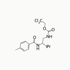 Cc1ccc(C(=O)NC(CNC(=O)OCC(Cl)(Cl)Cl)C(C)C)cc1